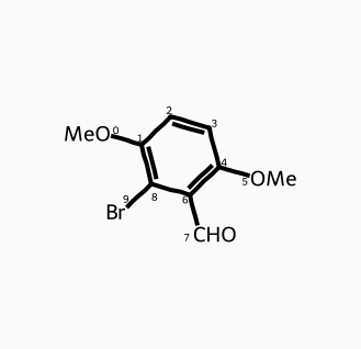 COc1ccc(OC)c(C=O)c1Br